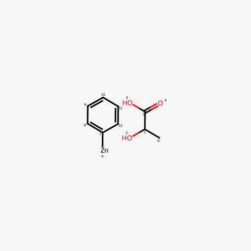 CC(O)C(=O)O.[Zn][c]1ccccc1